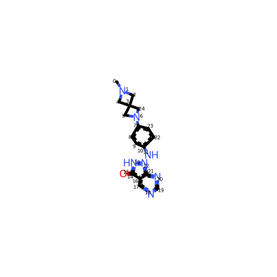 CN1CC2(C1)CN(c1ccc(Nn3[nH]c(=O)c4cncnc43)cc1)C2